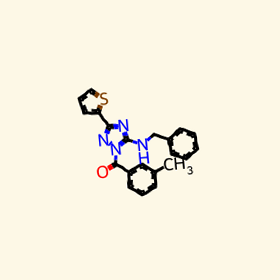 Cc1cccc(C(=O)n2nc(-c3cccs3)nc2NCc2ccccc2)c1